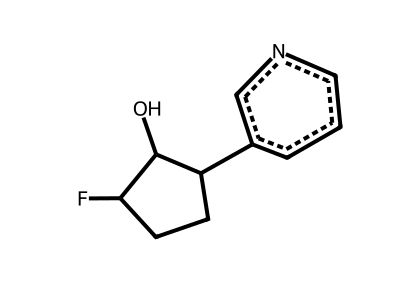 OC1C(F)CCC1c1cccnc1